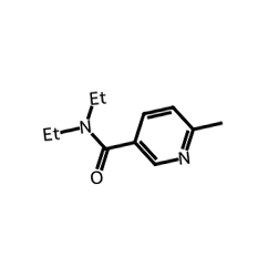 CCN(CC)C(=O)c1ccc(C)nc1